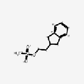 CS(=O)(=O)OCCC1Cc2ccccc2C1